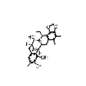 CC[C@H]1c2c(c(C)c(C)c3c2OCO3)CC2[C@H]3c4c(cc(C)c(OC)c4O)C[C@@H]([C@H](O)N21)N3C